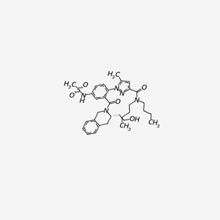 CCCCN(CCCC)C(=O)c1cc(C)n(-c2ccc(NS(C)(=O)=O)cc2C(=O)N2Cc3ccccc3C[C@H]2CCO)n1